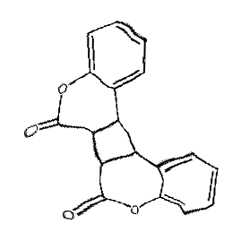 O=C1Oc2ccccc2C2C1C1C(=O)Oc3ccccc3C12